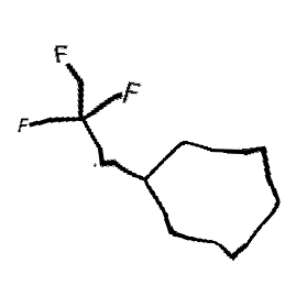 FC(F)(F)[CH]C1CCCCC1